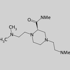 CNCCN1CCN(CCN(C)C)[C@@H](C(=O)NC)C1